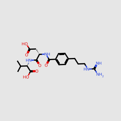 CC(C)[C@H](NC(=O)[C@H](CC(=O)O)NC(=O)c1ccc(CCCNC(=N)N)cc1)C(=O)O